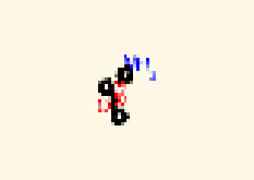 Nc1ccc(Oc2ccccc2C(=O)C(=O)c2ccccc2)cc1